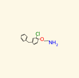 NCCOc1ccc(Cc2ccccc2)cc1Cl